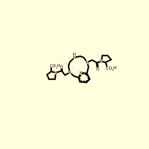 O=C(O)C1CCCN1C(=O)CN1CCNCCN(CC(=O)N2CCCC2C(=O)O)Cc2cccc(n2)C1